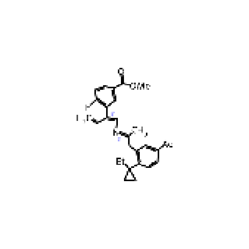 C=C/C(=C\N=C(/C)Cc1cc(C(C)=O)ccc1C1(CC)CC1)c1cc(C(=O)OC)ccc1F